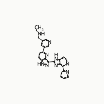 CCNCc1cncc(-c2ccc3[nH]nc(-c4nc5c(-c6ccccn6)nccc5[nH]4)c3n2)c1